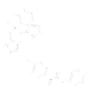 O=C(NCc1ccc(F)cc1)c1ccc(C#Cc2cnn(CC(O)(Cn3cncn3)c3ccc(F)cc3F)c2)cc1